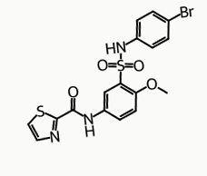 COc1ccc(NC(=O)c2nccs2)cc1S(=O)(=O)Nc1ccc(Br)cc1